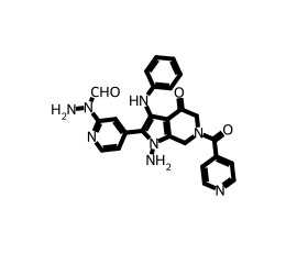 NN(C=O)c1cc(-c2c(Nc3ccccc3)c3c(n2N)CN(C(=O)c2ccncc2)CC3=O)ccn1